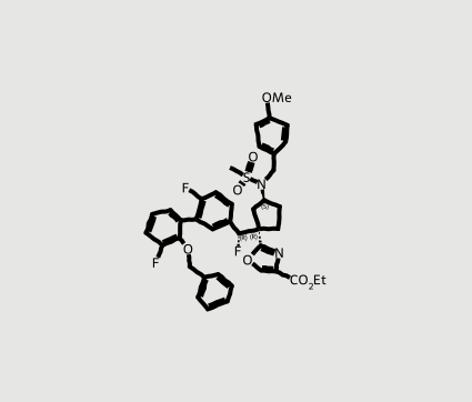 CCOC(=O)c1coc([C@@]2([C@H](F)c3ccc(F)c(-c4cccc(F)c4OCc4ccccc4)c3)CC[C@H](N(Cc3ccc(OC)cc3)S(C)(=O)=O)C2)n1